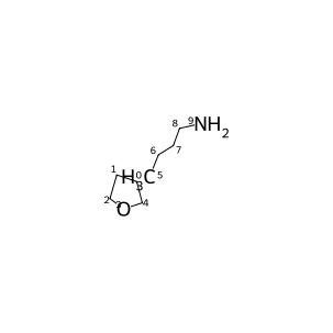 C1CCOC1.CCCCN